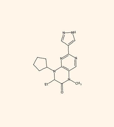 CCC1C(=O)N(C)c2cnc(-c3cn[nH]c3)nc2N1C1CCCC1